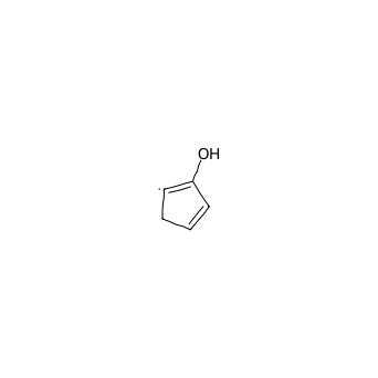 OC1=[C]CC=C1